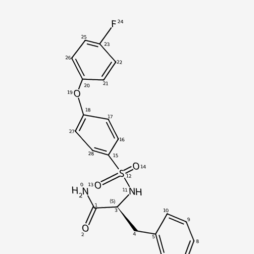 NC(=O)[C@H](Cc1ccccc1)NS(=O)(=O)c1ccc(Oc2ccc(F)cc2)cc1